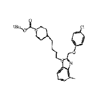 Cc1cccc2c1nc(COc1ccc(Cl)cc1)n2CCCCC1CCN(C(=O)OC(C)(C)C)CC1